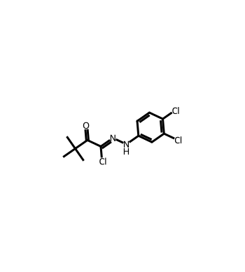 CC(C)(C)C(=O)C(Cl)=NNc1ccc(Cl)c(Cl)c1